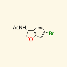 CC(=O)NC1COc2cc(Br)ccc21